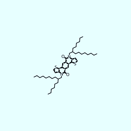 CCCCCCCCC(CCCCCC)Cn1c(=O)c2cc3c(cc2c2sccc21)c(=O)n(CC(CCCCCC)CCCCCCCC)c1ccsc31